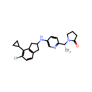 O=C1CCCN1[C@@H](c1ccc(NC2Cc3ccc(Cl)c(C4CC4)c3C2)cn1)C(F)(F)F